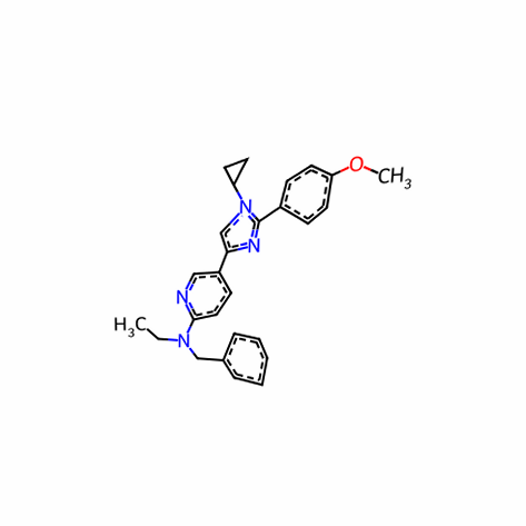 CCN(Cc1ccccc1)c1ccc(-c2cn(C3CC3)c(-c3ccc(OC)cc3)n2)cn1